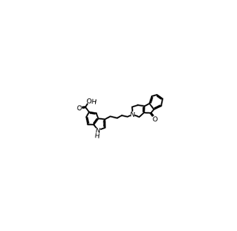 O=C(O)c1ccc2[nH]cc(CCCCN3CCC4=C(C3)C(=O)c3ccccc34)c2c1